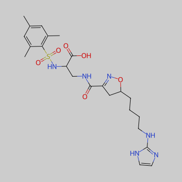 Cc1cc(C)c(S(=O)(=O)NC(CNC(=O)C2=NOC(CCCCNc3ncc[nH]3)C2)C(=O)O)c(C)c1